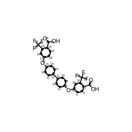 O=C(O)c1ccc(Oc2ccc(-c3ccc(Oc4ccc(C(=O)O)c(C(F)(F)F)c4)cc3)cc2)cc1C(F)(F)F